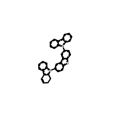 C1=Cc2c(n(-c3ccc4sc5ccc(-n6c7ccccc7c7ccccc76)cc5c4c3)c3ccccc23)CC1